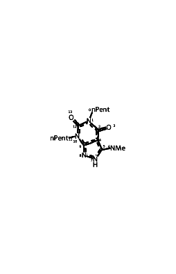 CCCCCn1c(=O)c2c(NC)[nH]nc2n(CCCCC)c1=O